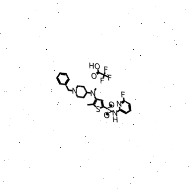 Cc1sc(S(=O)(=O)Nc2cccc(F)n2)cc1N(C)C1CCN(Cc2ccccc2)CC1.O=C(O)C(F)(F)F